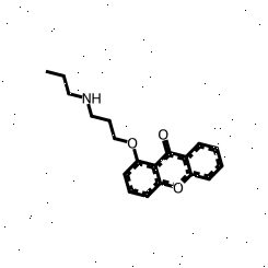 CCCNCCCOc1cccc2oc3ccccc3c(=O)c12